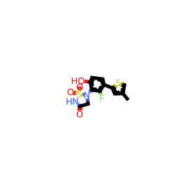 Cc1csc(-c2ccc(O)c(N3CC(=O)NS3(=O)=O)c2F)c1